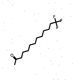 CC(=O)CCCCCCCCCCC(F)(F)F